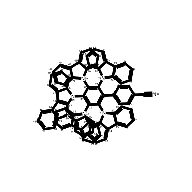 N#Cc1ccc(-c2c(-n3c4ccccc4c4ccccc43)c(-n3c4ccccc4c4ccccc43)c(-n3c4ccccc4c4c5ccccc5n(-c5ccccc5)c43)c(-n3c4ccccc4c4ccccc43)c2-n2c3ccccc3c3ccccc32)cc1